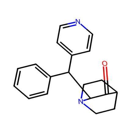 O=C1C2CCN(CC2)C1C(c1ccccc1)c1ccncc1